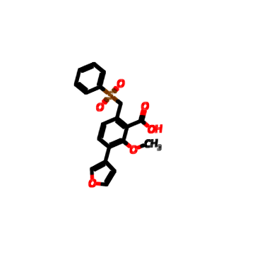 COc1c(-c2ccoc2)ccc(CS(=O)(=O)c2ccccc2)c1C(=O)O